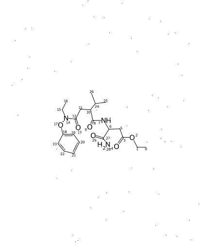 CCOC(=O)CC(NC(=O)C(CC(=O)N(CC)Oc1ccccc1)C(C)C)C(N)=O